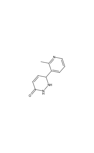 Cc1ncccc1C1C=CC(=O)NN1